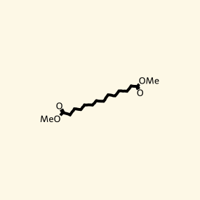 COC(=O)CCCCCCCCCCCCC(=O)OC